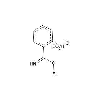 CCOC(=N)c1ccccc1C(=O)O.Cl